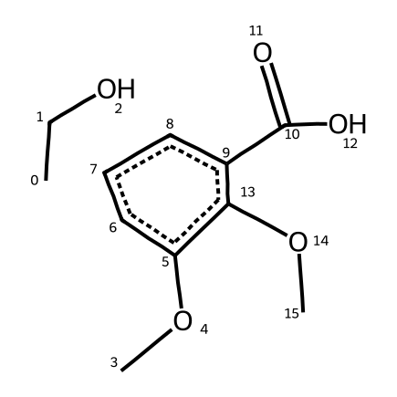 CCO.COc1cccc(C(=O)O)c1OC